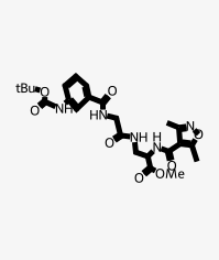 COC(=O)C(CNC(=O)CNC(=O)c1cccc(NC(=O)OC(C)(C)C)c1)NC(=O)c1c(C)noc1C